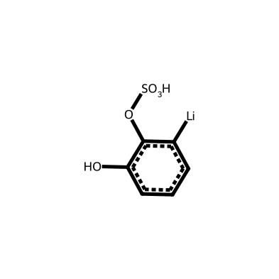 [Li][c]1cccc(O)c1OS(=O)(=O)O